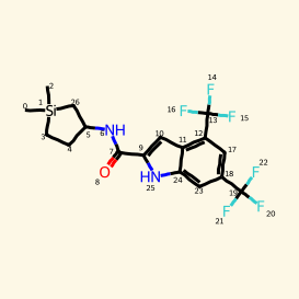 C[Si]1(C)CCC(NC(=O)c2cc3c(C(F)(F)F)cc(C(F)(F)F)cc3[nH]2)C1